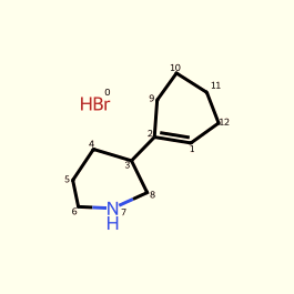 Br.C1=C(C2CCCNC2)CCCC1